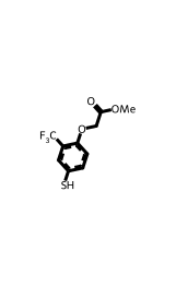 COC(=O)COc1ccc(S)cc1C(F)(F)F